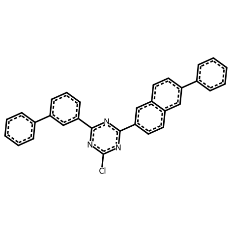 Clc1nc(-c2cccc(-c3ccccc3)c2)nc(-c2ccc3cc(-c4ccccc4)ccc3c2)n1